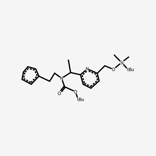 CC(c1cccc(CO[Si](C)(C)C(C)(C)C)n1)N(CCc1ccccc1)C(=O)OC(C)(C)C